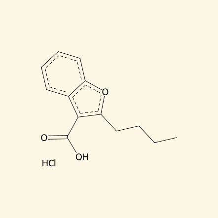 CCCCc1oc2ccccc2c1C(=O)O.Cl